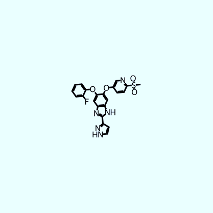 CS(=O)(=O)c1ccc(Oc2cc3[nH]c(-c4cc[nH]n4)nc3cc2Oc2ccccc2F)cn1